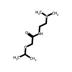 CC(C)OCC(=O)NCCN(C)C